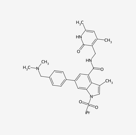 Cc1cc(C)c(CNC(=O)c2cc(-c3ccc(CN(C)C)cc3)cc3c2c(C)cn3S(=O)(=O)C(C)C)c(=O)[nH]1